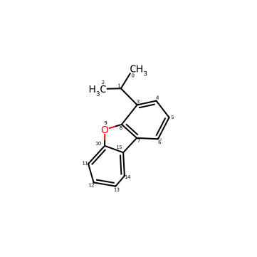 CC(C)c1cc[c]c2c1oc1ccccc12